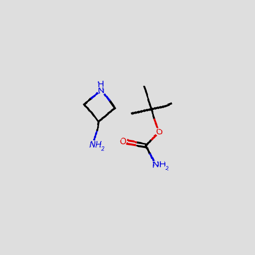 CC(C)(C)OC(N)=O.NC1CNC1